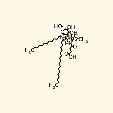 CCCCCCCCCCCCCCCCCC(=O)N(CCCCCCCCCCCC)[C@@H]1O[C@H](CO)[C@@H](O)[C@H](O)[C@H]1NC(=O)[C@H](CC(C)C)NC(=O)CCC(=O)O